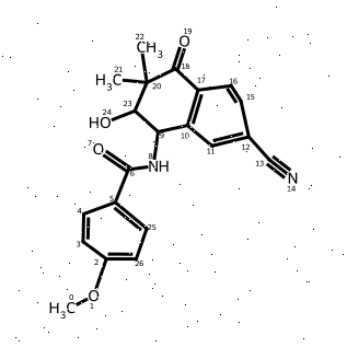 COc1ccc(C(=O)NC2c3cc(C#N)ccc3C(=O)C(C)(C)C2O)cc1